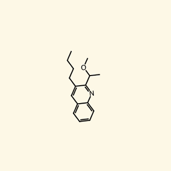 CCCCc1cc2ccccc2nc1C(C)OC